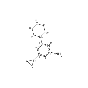 Nc1cc(C2CC2)cc(N2CCOCC2)n1